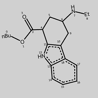 CCCCOC(=O)C1CC(NCC)Cc2c1[nH]c1ccccc21